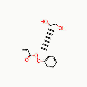 C=C.C=C.C=C.C=C.C=C.C=C.C=CC(=O)OOc1ccccc1.OCCO